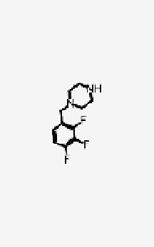 Fc1ccc(CN2CCNCC2)c(F)c1F